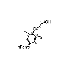 CCCCCc1cc(C)c(OCCO)c(C)c1